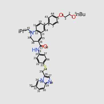 CCCCOCCOc1ccc(-c2ccc3c(c2)C=C(C(=O)Nc2ccc(SCc4cnc5ccc(C)cn45)cc2)CCN3CC(C)C)cc1